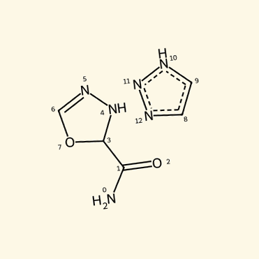 NC(=O)C1NN=CO1.c1c[nH]nn1